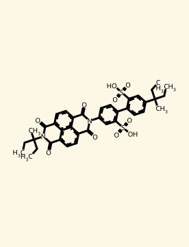 CCC(C)(CC)c1ccc(-c2ccc(N3C(=O)c4ccc5c6c(ccc(c46)C3=O)C(=O)N(C(C)(CC)CC)C5=O)cc2S(=O)(=O)O)c(S(=O)(=O)O)c1